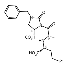 CC(C)CC[C@H](N[C@@H](C)C(=O)N1C(=O)N(Cc2ccccc2)C[C@H]1C(=O)O)C(=O)O